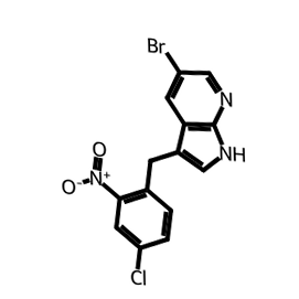 O=[N+]([O-])c1cc(Cl)ccc1Cc1c[nH]c2ncc(Br)cc12